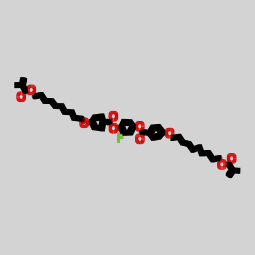 C=C(C)C(=O)OCCCCCCCCCCOc1ccc(C(=O)Oc2ccc(OC(=O)c3ccc(OCCCCCCCCCCOC(=O)C(=C)C)cc3)c(F)c2)cc1